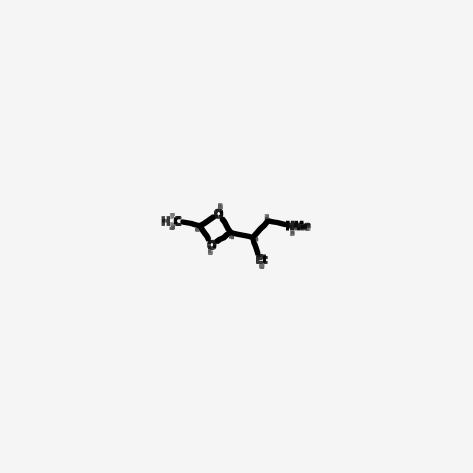 CCC(CNC)C1OC(C)O1